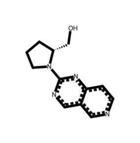 OC[C@H]1CCCN1c1ncc2cnccc2n1